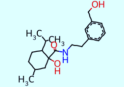 CC1CCC(C(C)C)C(O)(C(=O)NCCc2cccc(CO)c2)C1